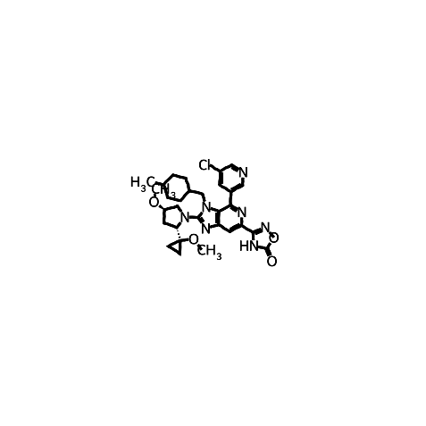 CO[C@@H]1C[C@@H](C2(OC)CC2)N(c2nc3cc(-c4noc(=O)[nH]4)nc(-c4cncc(Cl)c4)c3n2CC2CCC(C)CC2)C1